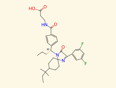 CCC[C@H](c1ccc(C(=O)NCCC(=O)O)cc1)N1C(=O)C(c2cc(F)cc(F)c2)=NC12CCC(C(C)(C)CC)CC2